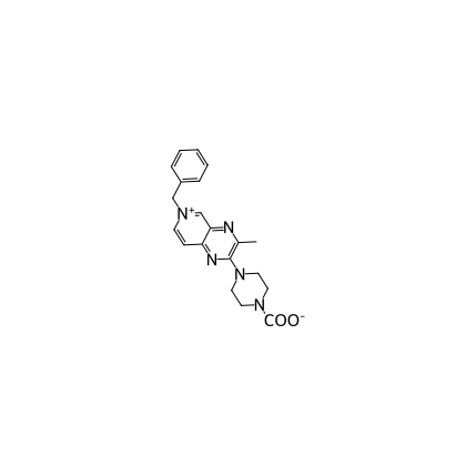 Cc1nc2c[n+](Cc3ccccc3)ccc2nc1N1CCN(C(=O)[O-])CC1